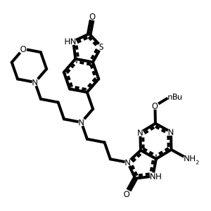 CCCCOc1nc(N)c2[nH]c(=O)n(CCCN(CCCN3CCOCC3)Cc3ccc4[nH]c(=O)sc4c3)c2n1